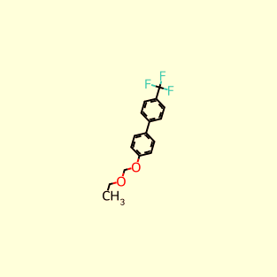 CCOCOc1ccc(-c2ccc(C(F)(F)F)cc2)cc1